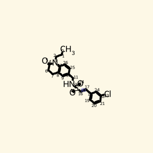 CCCN1C(=O)CCc2cc(CNS(=O)(=O)/C=C/c3cccc(Cl)c3)ccc21